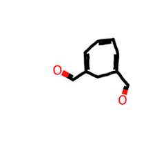 O=CC1=CC=CC=C(C=O)C1